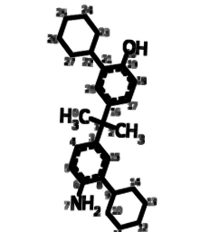 CC(C)(c1ccc(N)c(C2CCCCC2)c1)c1ccc(O)c(C2CCCCC2)c1